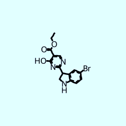 CCOC(=O)c1cnc(C2CNc3ccc(Br)cc32)nc1O